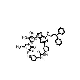 CCCN(C(=O)C(F)(F)F)[C@H]1C[C@@H](n2cnc3c(NCCC(c4ccccc4)c4ccccc4)nc(N4CC[C@@H](NC(=O)NC5CCNC5)C4)nc32)[C@H](O)[C@@H]1O